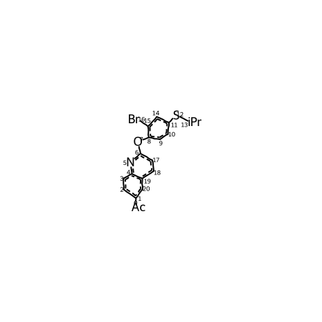 CC(=O)c1ccc2nc(Oc3ccc(SC(C)C)cc3Br)ccc2c1